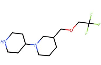 FC(F)(F)COCC1CCCN(C2CCNCC2)C1